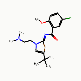 COc1ccc(Cl)cc1C(=O)/N=c1\sc(C(C)(C)C)cn1CCN(C)C